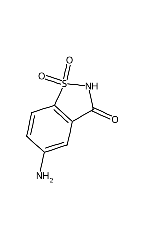 Nc1ccc2c(c1)C(=O)NS2(=O)=O